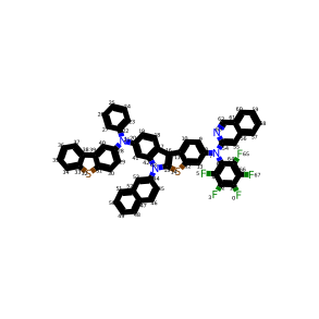 Fc1c(F)c(F)c(N(c2ccc3c(c2)sc2c3c3ccc(N(c4ccccc4)c4ccc5sc6ccccc6c5c4)cc3n2-c2ccc3ccccc3c2)c2cc3ccccc3cn2)c(F)c1F